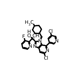 CC1CCC(Cn2c([C@@](C)(O)c3ncccc3F)nc3cc(Cl)nc(-c4cncc(Cl)c4)c32)CC1